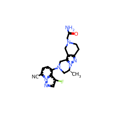 C[C@@H]1CN(c2ccc(C#N)n3ncc(F)c23)Cc2c3c(nn21)CCN(CC(N)=O)C3